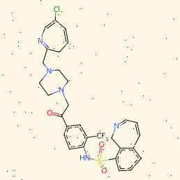 O=C(CN1CCN(CC2=NC=C(Cl)C=CC2)CC1)c1ccc(NS(=O)(=O)c2cccc3c2CN=CC=C3)c(C(F)(F)F)c1